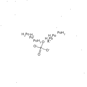 O=P([O-])([O-])[O-].[K+].[PoH2].[PoH2].[PoH2].[PoH2].[PoH2].[PoH2]